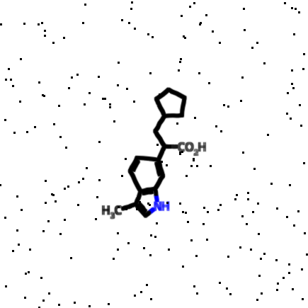 Cc1c[nH]c2cc(C(CC3CCCC3)C(=O)O)ccc12